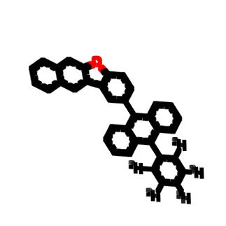 [2H]c1c([2H])c([2H])c(-c2c3ccccc3c(-c3ccc4oc5cc6ccccc6cc5c4c3)c3ccccc23)c([2H])c1[2H]